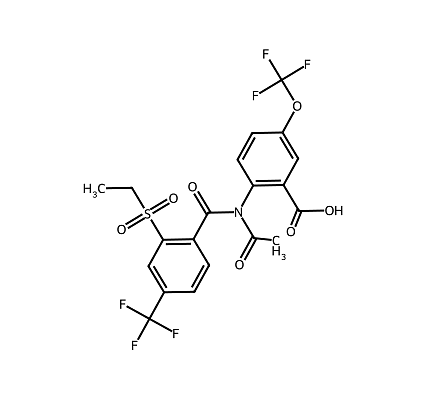 CCS(=O)(=O)c1cc(C(F)(F)F)ccc1C(=O)N(C(C)=O)c1ccc(OC(F)(F)F)cc1C(=O)O